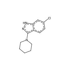 Clc1ccc2c(N3CCCCC3)n[nH]c2c1